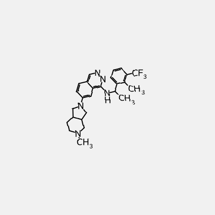 Cc1c(C(C)Nc2nncc3ccc(N4CC5CCN(C)CC5C4)cc23)cccc1C(F)(F)F